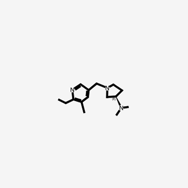 CCc1ncc(CN2CC[C@@H](N(C)C)C2)cc1C